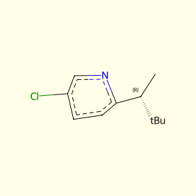 C[C@@H](c1ccc(Cl)cn1)C(C)(C)C